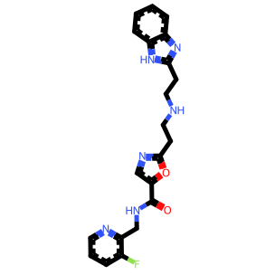 O=C(NCc1ncccc1F)c1cnc(CCNCCc2nc3ccccc3[nH]2)o1